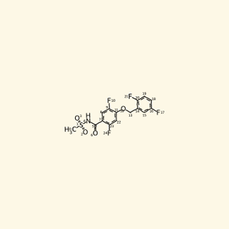 CS(=O)(=O)NC(=O)c1cc(F)c(OCc2cc(F)ccc2F)cc1F